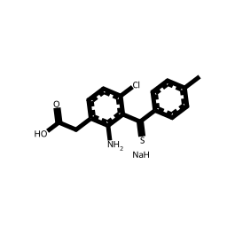 Cc1ccc(C(=S)c2c(Cl)ccc(CC(=O)O)c2N)cc1.[NaH]